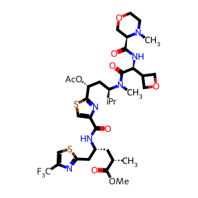 COC(=O)[C@@H](C)C[C@H](Cc1nc(C(F)(F)F)cs1)NC(=O)c1csc([C@@H](C[C@H](C(C)C)N(C)C(=O)[C@@H](NC(=O)[C@H]2COCCN2C)C2COC2)OC(C)=O)n1